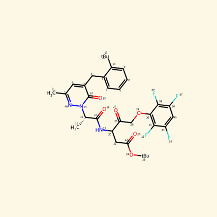 Cc1cc(Cc2ccccc2C(C)(C)C)c(=O)n([C@@H](C)C(=O)NC(CC(=O)OC(C)(C)C)C(=O)COc2c(F)c(F)cc(F)c2F)n1